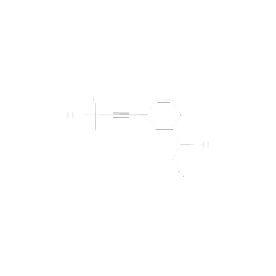 CCCC(O)(C#Cc1cccc(C(O)CN)c1)CCC